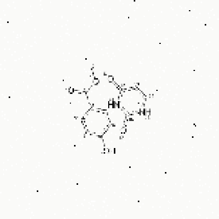 COC(=O)c1ccc(O)cc1.O=c1cc[nH]c(=O)[nH]1